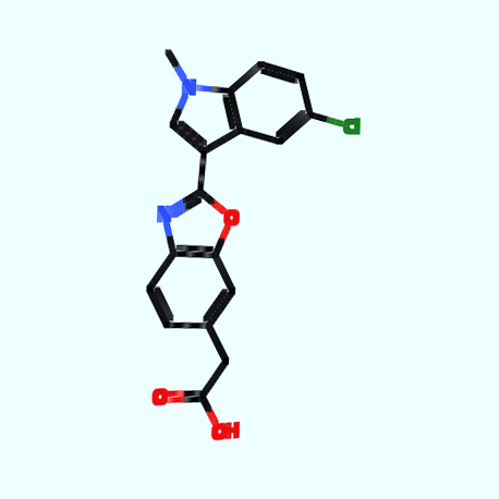 Cn1cc(-c2nc3ccc(CC(=O)O)cc3o2)c2cc(Cl)ccc21